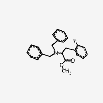 COC(=O)C(Cc1ccccc1F)N(Cc1ccccc1)Cc1ccccc1